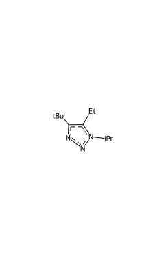 CCc1c(C(C)(C)C)nnn1C(C)C